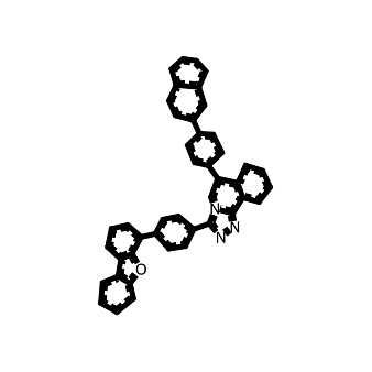 c1ccc2cc(-c3ccc(-c4cn5c(-c6ccc(-c7cccc8c7oc7ccccc78)cc6)nnc5c5ccccc45)cc3)ccc2c1